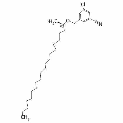 [CH2][C@H](CCCCCCCCCCCCCCCCCCC)OCc1cc(Cl)cc(C#N)c1